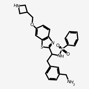 NCc1cccc(CC(NS(=O)(=O)c2ccccc2)c2nc3ccc(OCC4CNC4)cc3s2)c1